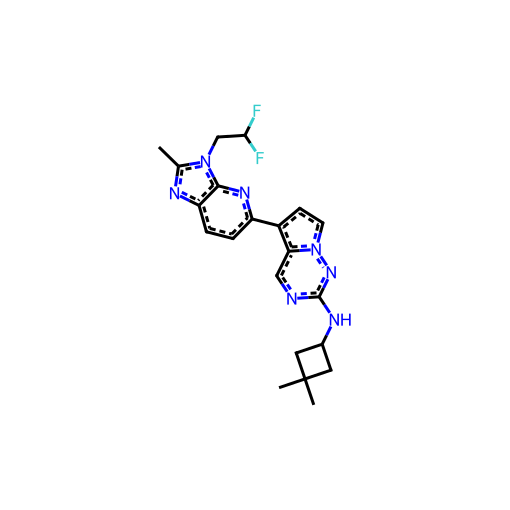 Cc1nc2ccc(-c3ccn4nc(NC5CC(C)(C)C5)ncc34)nc2n1CC(F)F